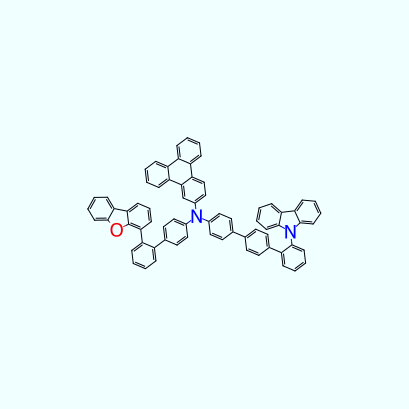 c1ccc(-c2cccc3c2oc2ccccc23)c(-c2ccc(N(c3ccc(-c4ccc(-c5ccccc5-n5c6ccccc6c6ccccc65)cc4)cc3)c3ccc4c5ccccc5c5ccccc5c4c3)cc2)c1